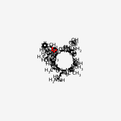 CC[C@H](C)[C@@H]1NC(=O)[C@@H](CCCNC(=N)N)NC(=O)[C@H](CC(C)C)NC(=O)[C@H]([C@H](O)C(C)C)NC(=O)[C@@H](NC(=O)[C@H](CC(C)C)NC(=O)[C@@H](CC(C)C)NC(=S)Nc2ccccc2)[C@@H](c2ccccc2)OC(=O)[C@H](CO)NC(=O)[C@H]([C@H](O)C(N)=O)NC(=O)CNC(=O)[C@H]([C@H](C)O)NC1=O.O=C(O)C(F)(F)F